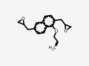 C=CCOc1c(CC2CO2)ccc2cc(CC3CO3)ccc12